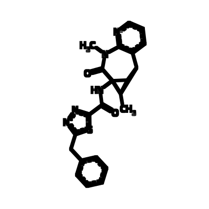 CN1C(=O)C2(NC(=O)c3nnc(Cc4ccccc4)s3)C3C(c4cccnc41)C32C